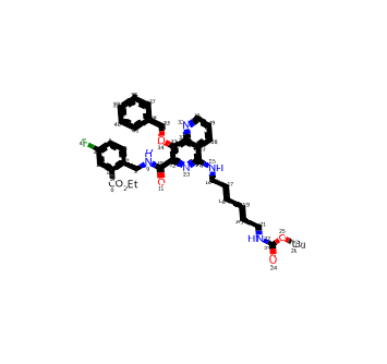 CCOC(=O)c1cc(F)ccc1CNC(=O)c1nc(NCCCCCCNC(=O)OC(C)(C)C)c2cccnc2c1OCc1ccccc1